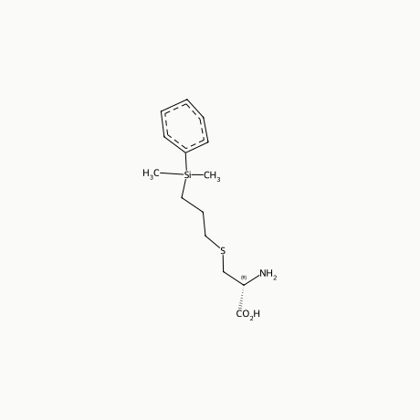 C[Si](C)(CCCSC[C@H](N)C(=O)O)c1ccccc1